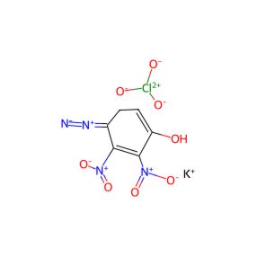 [K+].[N-]=[N+]=C1CC=C(O)C([N+](=O)[O-])=C1[N+](=O)[O-].[O-][Cl+2]([O-])[O-]